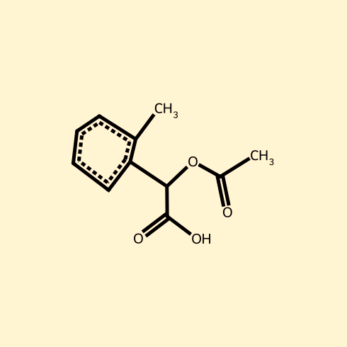 CC(=O)OC(C(=O)O)c1ccccc1C